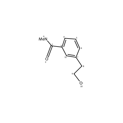 CNC(=O)c1cccc(CC[O])c1